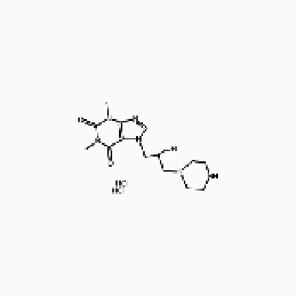 Cl.Cl.Cn1c(=O)c2c(ncn2CC(O)CN2CCNCC2)n(C)c1=O